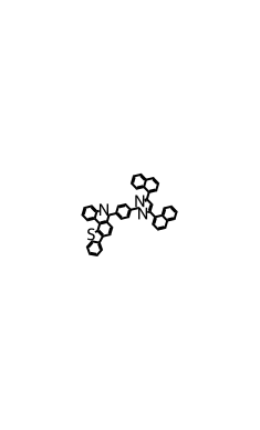 c1ccc2c(-c3cc(-c4cccc5ccccc45)nc(-c4ccc(-c5nc6ccccc6c6c5ccc5c7ccccc7sc56)cc4)n3)cccc2c1